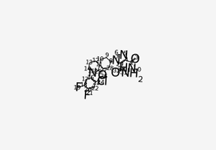 CNC(=O)c1ncn(C2CCC3(CCCN(c4cc(F)c(F)cc4Cl)C3=O)CC2)c1C(N)=O